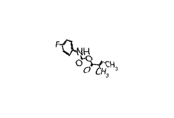 CC=C(C)C(=O)OC(=O)Nc1ccc(F)cc1